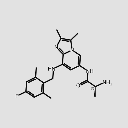 Cc1cc(F)cc(C)c1CNc1cc(NC(=O)[C@H](C)N)cn2c(C)c(C)nc12